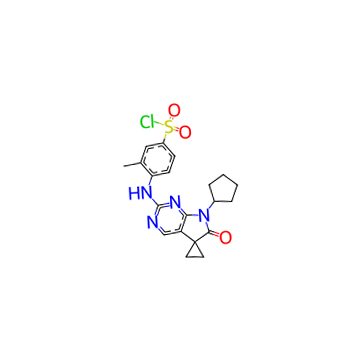 Cc1cc(S(=O)(=O)Cl)ccc1Nc1ncc2c(n1)N(C1CCCC1)C(=O)C21CC1